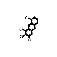 Clc1[c]c2cc3cc[c]c(Cl)c3cc2c(Cl)c1Cl